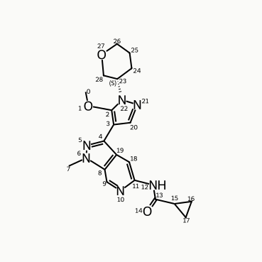 COc1c(-c2nn(C)c3cnc(NC(=O)C4CC4)cc23)cnn1[C@H]1CCCOC1